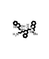 CC(C)(C)NCC1CC2CCCCC2CN1CC(O)C(CCC(CCN)NCC1Nc2ccccc2CC1O)Cc1ccccc1